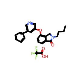 CCCCN1Cc2c(Oc3cncc(-c4ccccc4)c3)cccc2C1=O.O=C(O)C(F)(F)F